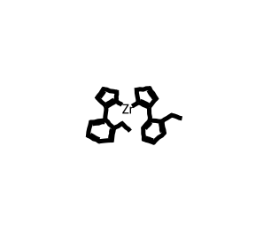 CCc1ccccc1C1=[C]([Zr][C]2=C(c3ccccc3CC)C=CC2)CC=C1